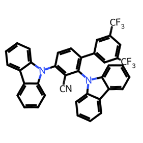 N#Cc1c(-n2c3ccccc3c3ccccc32)ccc(-c2cc(C(F)(F)F)cc(C(F)(F)F)c2)c1-n1c2ccccc2c2ccccc21